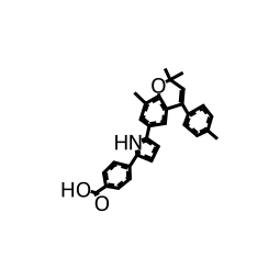 Cc1ccc(C2=CC(C)(C)Oc3c(C)cc(-c4ccc(-c5ccc(C(=O)O)cc5)[nH]4)cc32)cc1